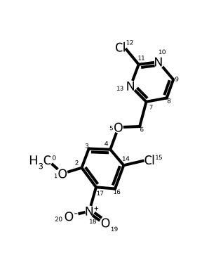 COc1cc(OCc2ccnc(Cl)n2)c(Cl)cc1[N+](=O)[O-]